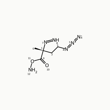 C[C@](CCN=[N+]=[N-])(N=N)C(=O)ON